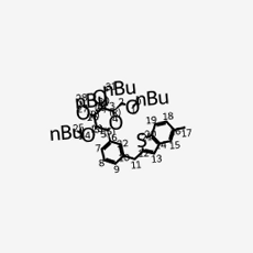 CCCCOC[C@H]1O[C@@H](c2cccc(Cc3cc4cc(C)ccc4s3)c2)[C@H](OCCCC)[C@@H](OCCCC)[C@@H]1OCCCC